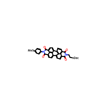 CCCCCCCCCCCCN1C(=O)c2ccc3c4ccc5c6c(ccc(c7ccc(c2c37)C1=O)c64)C(=O)N(c1ccc(SC)cc1)C5=O